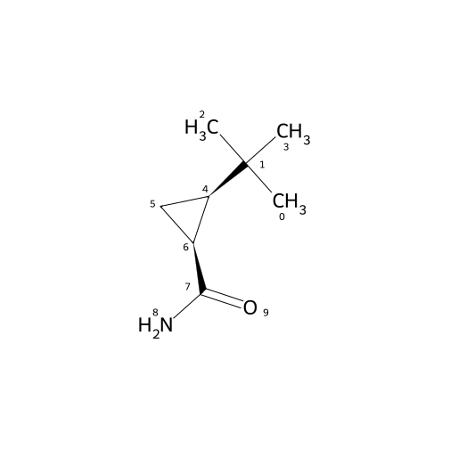 CC(C)(C)[C@@H]1C[C@@H]1C(N)=O